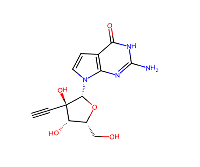 C#C[C@@]1(O)[C@@H](O)[C@@H](CO)O[C@H]1n1ccc2c(=O)[nH]c(N)nc21